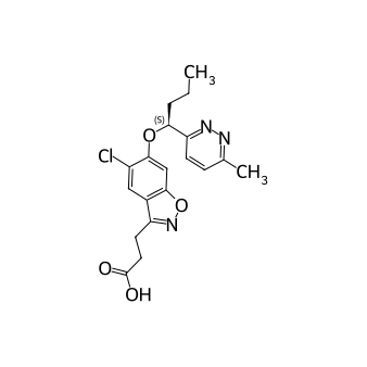 CCC[C@H](Oc1cc2onc(CCC(=O)O)c2cc1Cl)c1ccc(C)nn1